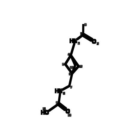 CC(=O)NC12CC(CNC(=O)O)(C1)C2